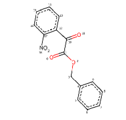 O=C(OCc1ccccc1)C(=O)c1ccccc1[N+](=O)[O-]